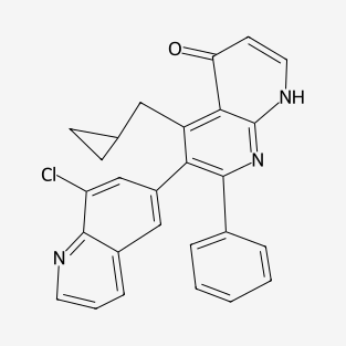 O=c1cc[nH]c2nc(-c3ccccc3)c(-c3cc(Cl)c4ncccc4c3)c(CC3CC3)c12